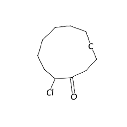 O=C1CCCCCCCCCC1Cl